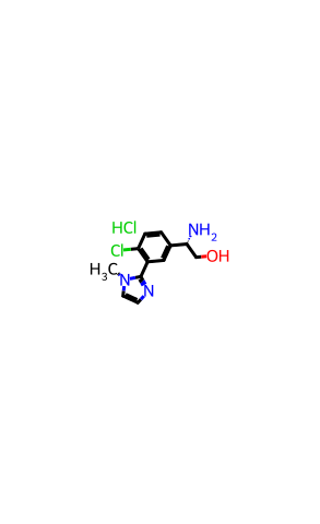 Cl.Cn1ccnc1-c1cc([C@H](N)CO)ccc1Cl